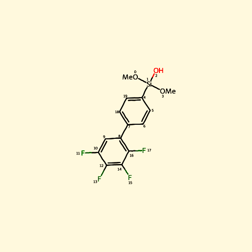 CO[Si](O)(OC)c1ccc(-c2cc(F)c(F)c(F)c2F)cc1